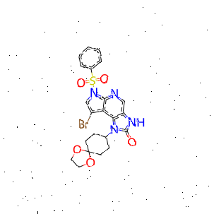 O=c1[nH]c2cnc3c(c(Br)cn3S(=O)(=O)c3ccccc3)c2n1C1CCC2(CC1)OCCO2